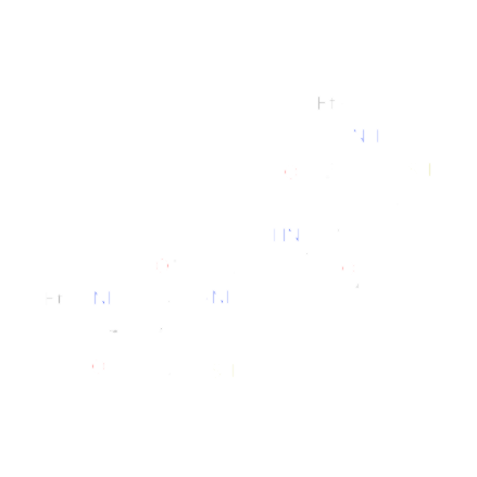 CCNC(=O)C(CS)C(=O)NCCNC(=O)C(CS)C(=O)NCC